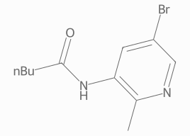 CCCCC(=O)Nc1cc(Br)cnc1C